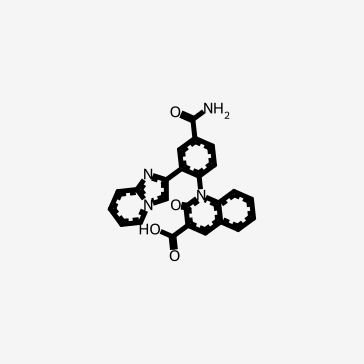 NC(=O)c1ccc(-n2c(=O)c(C(=O)O)cc3ccccc32)c(-c2cn3ccccc3n2)c1